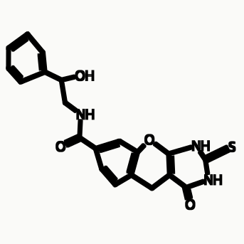 O=C(NCC(O)c1ccccc1)c1ccc2c(c1)Oc1[nH]c(=S)[nH]c(=O)c1C2